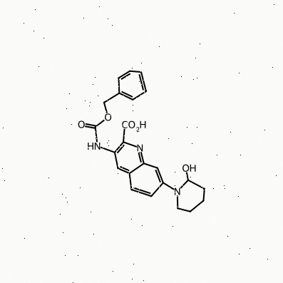 O=C(Nc1cc2ccc(N3CCCCC3O)cc2nc1C(=O)O)OCc1ccccc1